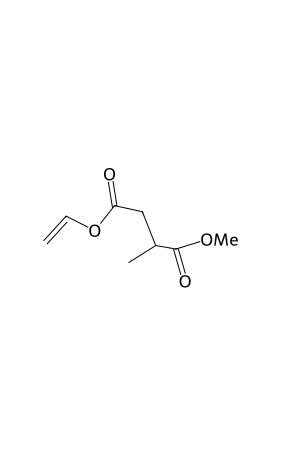 C=COC(=O)CC(C)C(=O)OC